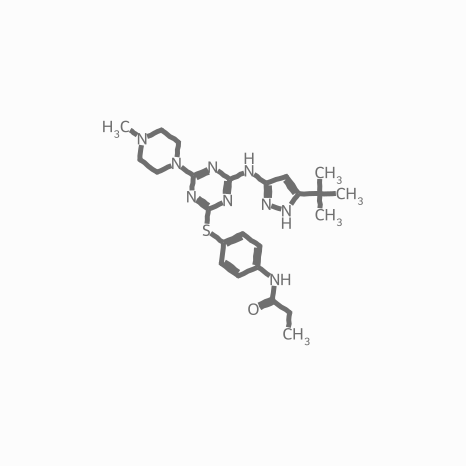 CCC(=O)Nc1ccc(Sc2nc(Nc3cc(C(C)(C)C)[nH]n3)nc(N3CCN(C)CC3)n2)cc1